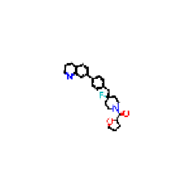 O=C([C@H]1CCCO1)N1CCC(F)(Cc2ccc(-c3ccc4cccnc4c3)cc2)CC1